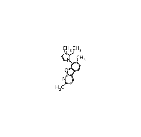 CCC1N(C)C=CN1c1c(C)ccc2c1oc1nc(C)ccc12